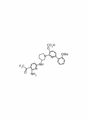 COc1ccccc1-c1ccc(OC(=O)O)c(N2CCCC(Nc3ccc(C(=O)C(F)(F)F)c(N)n3)C2)n1